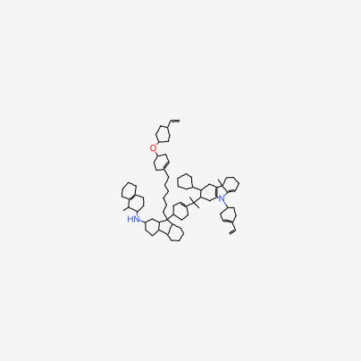 C=CC1=CCC(N2C3=CCCCC3(C)C3=C2CC(C(C)(C)C2=CCC(C4(CCCCCCC5=CCC(OC6CCC(C=C)CC6)CC5)C5CCCCC5C5CCC(NC6CCC7=C(CCCC7)C6C)CC54)CC2)C(C2CCCCC2)C3)CC1